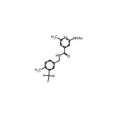 CC(=O)Nc1cc(C(=O)NCc2ccc(C)c(C(F)(F)I)c2)cc(C)n1